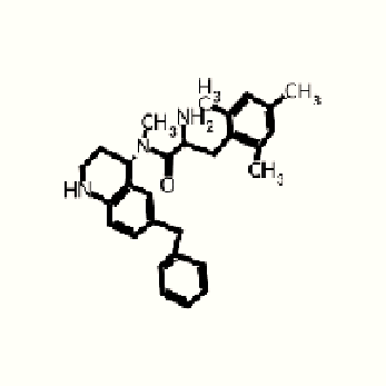 Cc1cc(C)c(C[C@H](N)C(=O)N(C)[C@H]2CCNc3ccc(Cc4ccccc4)cc32)c(C)c1